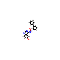 O=C(Nc1cccc(-c2ccccc2)c1)Nc1ncnc2c1CC(O)CC2